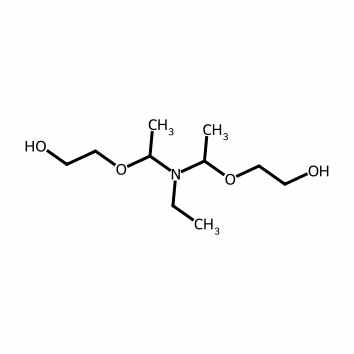 CCN(C(C)OCCO)C(C)OCCO